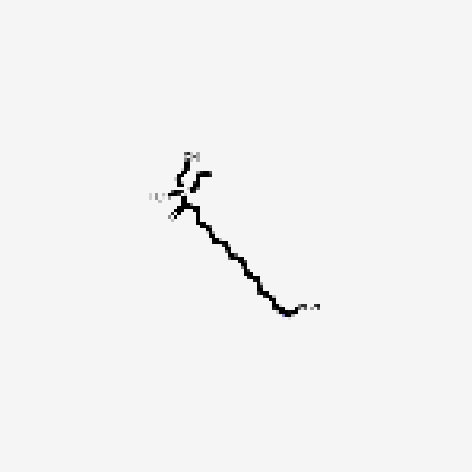 CCCCCCCC/C=C\CCCCCCCCCCCC(=O)[N+](C)(CCO)CCO